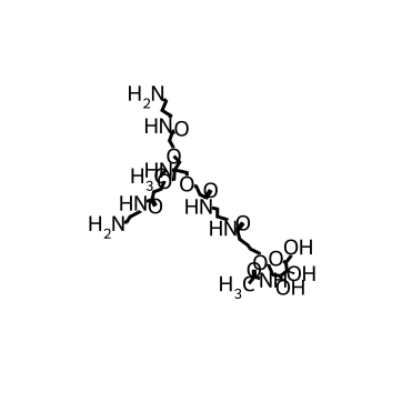 CNC(COCCC(=O)NCCCN)(COCCC(=O)NCCCN)COCCC(=O)NCCCNC(=O)CCCCO[C@@H]1OC(CO)[C@@H](O)C(O)C1NC(C)=O